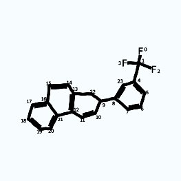 FC(F)(F)c1cccc(C2C=Cc3c(ccc4ccccc34)C2)c1